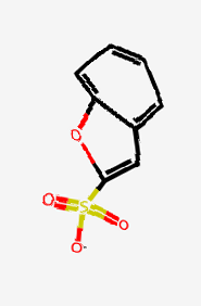 [O]S(=O)(=O)c1cc2ccccc2o1